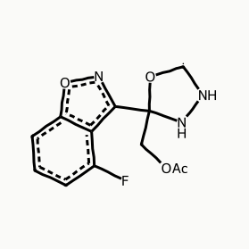 CC(=O)OCC1(c2noc3cccc(F)c23)NN[CH]O1